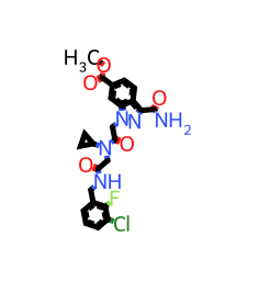 COC(=O)c1ccc2c(C(N)=O)nn(CC(=O)N(CC(=O)NCc3cccc(Cl)c3F)C3CC3)c2c1